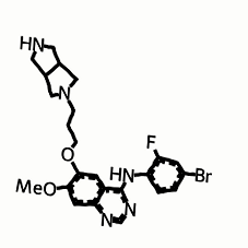 COc1cc2ncnc(Nc3ccc(Br)cc3F)c2cc1OCCCN1CC2CNCC2C1